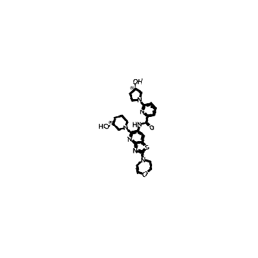 O=C(Nc1cc2sc(N3CCOCC3)nc2nc1N1CCC[C@@H](O)C1)c1cccc(N2CC[C@H](O)C2)n1